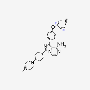 C#C/C=C\C(=C/C)Oc1ccc(-c2nc(C3CCC(N4CCN(C)CC4)CC3)n3ccnc(N)c23)cc1